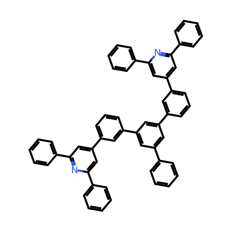 c1ccc(-c2cc(-c3cccc(-c4cc(-c5ccccc5)nc(-c5ccccc5)c4)c3)cc(-c3cccc(-c4cc(-c5ccccc5)nc(-c5ccccc5)c4)c3)c2)cc1